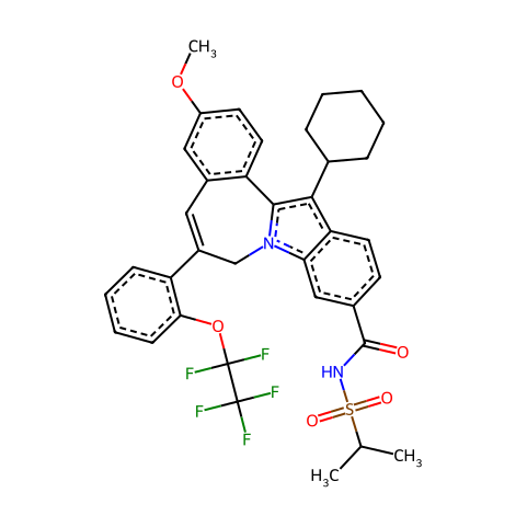 COc1ccc2c(c1)C=C(c1ccccc1OC(F)(F)C(F)(F)F)Cn1c-2c(C2CCCCC2)c2ccc(C(=O)NS(=O)(=O)C(C)C)cc21